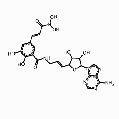 Nc1ncnc2c1ncn2C1OC(C=CCNC(=O)c2cc(C=CC(=O)N(O)O)cc(O)c2O)C(O)C1O